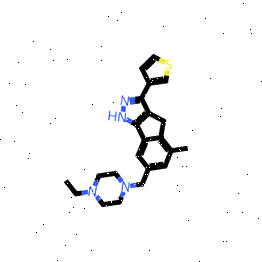 CCN1CCN(Cc2cc(C)c3c(c2)-c2[nH]nc(-c4ccsc4)c2C3)CC1